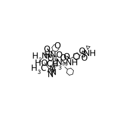 CC(C)(O)c1cnnn1[C@H]1C[C@@H](C(=O)NC2(C(=O)C(N)=O)CCOCC2)N(C(=O)[C@@H](CC2CCCCC2)NC(=O)c2ccc(S(=O)(=O)NC3CC3)cc2)C1